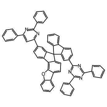 c1ccc(-c2cc(-c3ccc4c(c3)C3(c5ccccc5-c5ccc(-c6nc(-c7ccccc7)nc(-c7ccccc7)n6)cc53)c3ccc5c(oc6ccccc65)c3-4)nc(-c3ccccc3)n2)cc1